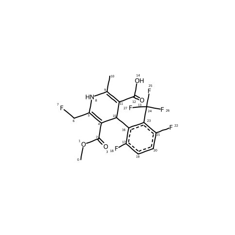 COC(=O)C1=C(CF)NC(C)=C(C(=O)O)C1c1c(F)ccc(F)c1C(F)(F)F